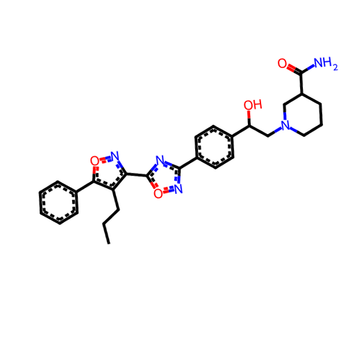 CCCc1c(-c2nc(-c3ccc(C(O)CN4CCCC(C(N)=O)C4)cc3)no2)noc1-c1ccccc1